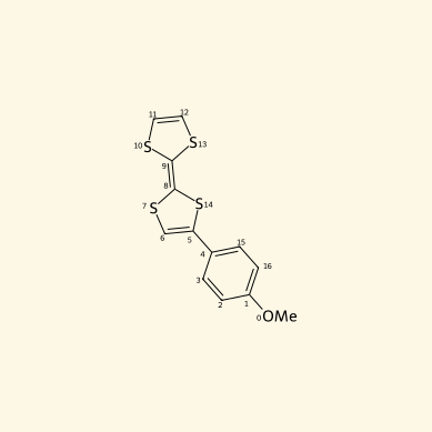 COc1ccc(C2=CSC(=C3SC=CS3)S2)cc1